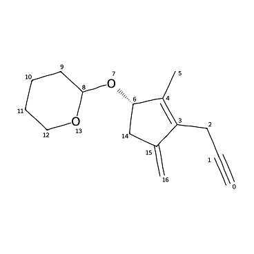 C#CCC1=C(C)[C@@H](OC2CCCCO2)CC1=C